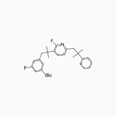 CC(C)(C)c1cc(F)cc(CC(C)(C)c2ccc(CC(C)(C)c3ccccc3)nc2F)c1